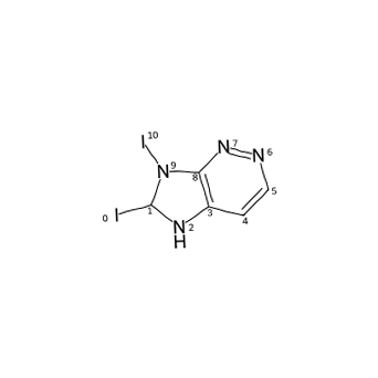 IC1Nc2ccnnc2N1I